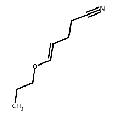 CCCOC=CCCC#N